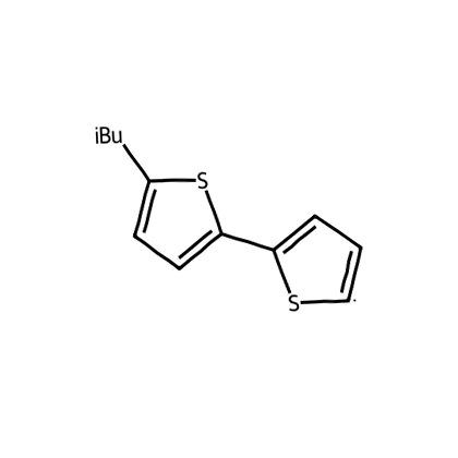 CCC(C)c1ccc(-c2cc[c]s2)s1